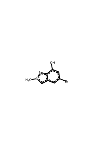 Cn1cc2cc(Br)cc(O)c2n1